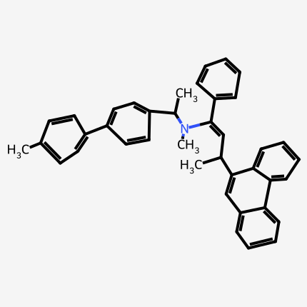 Cc1ccc(-c2ccc(C(C)N(C)/C(=C\C(C)c3cc4ccccc4c4ccccc34)c3ccccc3)cc2)cc1